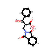 O=C(O)C(CN1C(=O)c2ccccc2C1=O)C(O)c1ccccc1